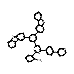 Cc1ccccc1-c1nc(-c2ccc(-c3cccnc3)cc2)cc(-c2cc(-c3ccc4oc5ccccc5c4c3)cc(-c3ccc4oc5ccccc5c4c3)c2)n1